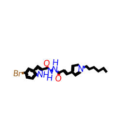 CCCCCCN1C=CC(/C=C/C(=O)NNC(=O)c2cc3cc(Br)ccc3[nH]2)=CC1